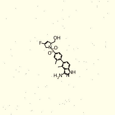 Cc1cc(S(=O)(=O)N2CC(F)=CC2CO)ccc1-c1ccc2[nH]nc(N)c2c1C